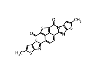 Cc1cc2c(nc3c4ccc5c6c(sc(c(=O)n23)c46)c(=O)n2c3cc(C)sc3nc52)s1